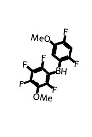 COc1cc(Bc2c(F)c(F)c(F)c(OC)c2F)c(F)cc1F